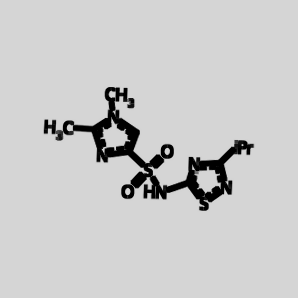 Cc1nc(S(=O)(=O)Nc2nc(C(C)C)ns2)cn1C